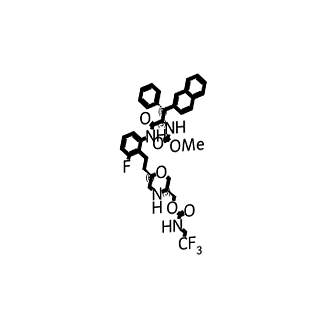 COC(=O)N[C@H](C(=O)Nc1cccc(F)c1CC[C@@H]1CN[C@H](COC(=O)NCC(F)(F)F)CO1)[C@H](c1ccccc1)c1ccc2ccccc2c1